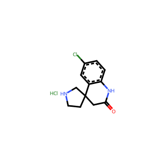 Cl.O=C1CC2(CCNC2)c2cc(Cl)ccc2N1